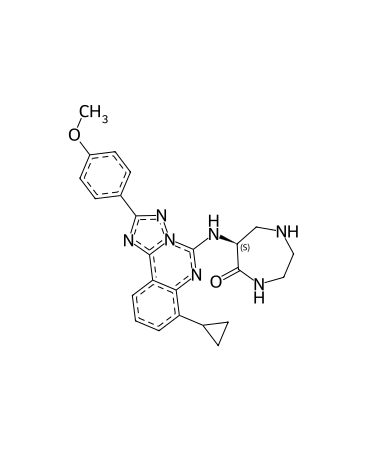 COc1ccc(-c2nc3c4cccc(C5CC5)c4nc(N[C@H]4CNCCNC4=O)n3n2)cc1